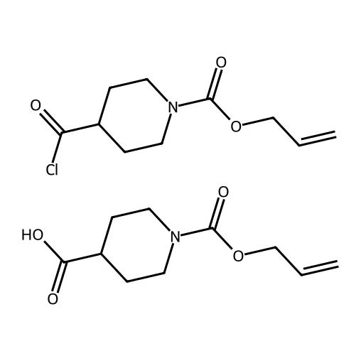 C=CCOC(=O)N1CCC(C(=O)Cl)CC1.C=CCOC(=O)N1CCC(C(=O)O)CC1